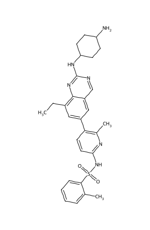 CCc1cc(-c2ccc(NS(=O)(=O)c3ccccc3C)nc2C)cc2cnc(NC3CCC(N)CC3)nc12